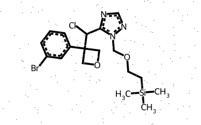 C[Si](C)(C)CCOCn1ncnc1C(Cl)C1(c2cccc(Br)c2)COC1